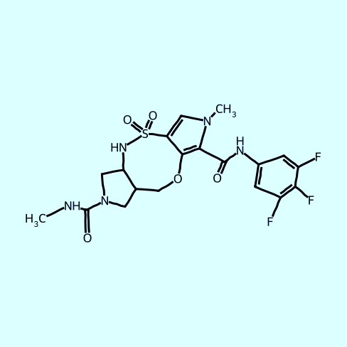 CNC(=O)N1CC2COc3c(cn(C)c3C(=O)Nc3cc(F)c(F)c(F)c3)S(=O)(=O)NC2C1